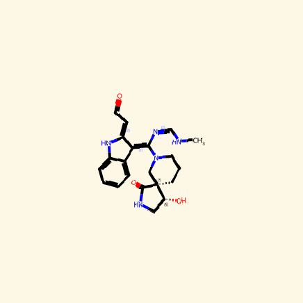 CN\C=N/C(=c1\c(=C\C=O)[nH]c2ccccc12)N1CCC[C@@]2(C1)C(=O)NC[C@H]2O